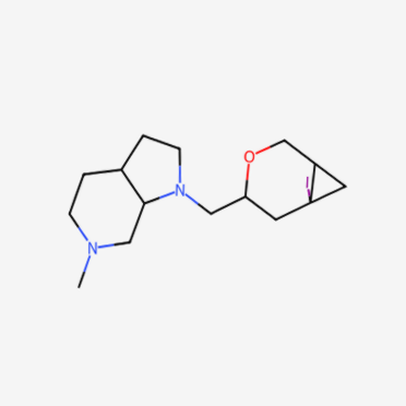 CN1CCC2CCN(CC3CC4(I)CC4CO3)C2C1